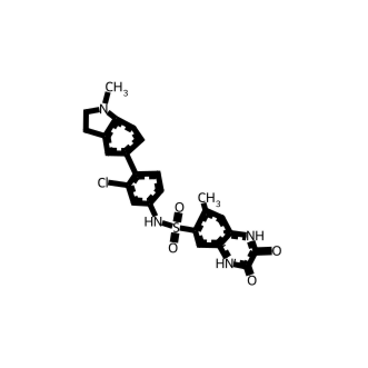 Cc1cc2[nH]c(=O)c(=O)[nH]c2cc1S(=O)(=O)Nc1ccc(-c2ccc3c(c2)CCN3C)c(Cl)c1